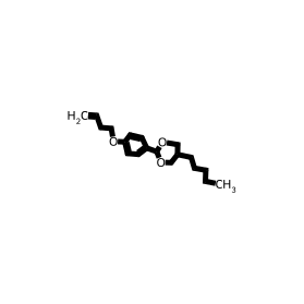 C=CCCOc1ccc(C2OCC(CCCCC)CO2)cc1